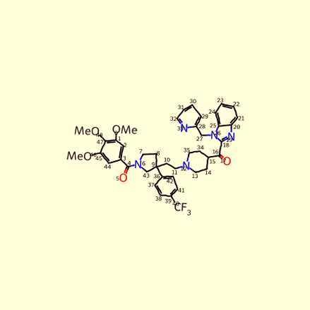 COc1cc(C(=O)N2CCC(CCN3CCC(C(=O)c4nc5ccccc5n4Cc4ccccn4)CC3)(c3ccc(C(F)(F)F)cc3)C2)cc(OC)c1OC